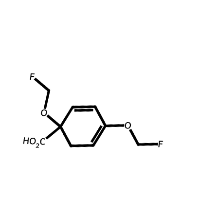 O=C(O)C1(OCF)C=CC(OCF)=CC1